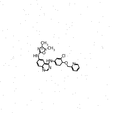 C[C@@H]1N=C(Nc2ccc3ncnc(NC4=CCC(OCc5ccccn5)C(Cl)=C4)c3c2)O[C@H]1C